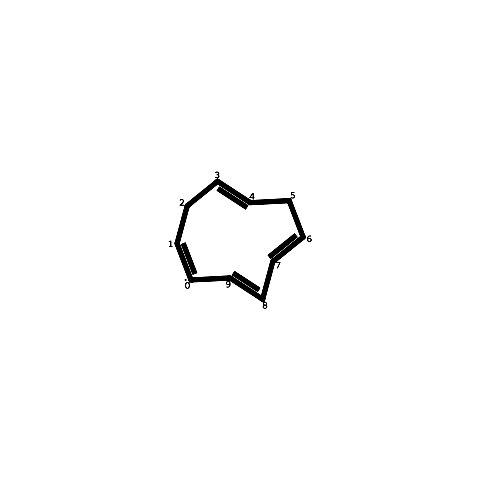 [C]1=C\C/C=C/C/C=C/C=C/1